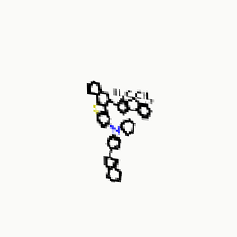 CC1(C)c2ccccc2-c2ccc(-c3cc4ccccc4c4sc5ccc(N(c6ccccc6)c6ccc(-c7ccc8ccccc8c7)cc6)cc5c34)cc21